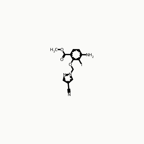 COC(=O)c1ccc(N)c(I)c1OCn1cc(C#N)cn1